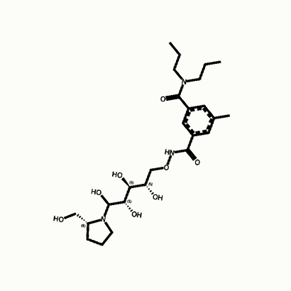 CCCN(CCC)C(=O)c1cc(C)cc(C(=O)NOC[C@H](O)[C@H](O)[C@H](O)C(O)N2CCC[C@@H]2CO)c1